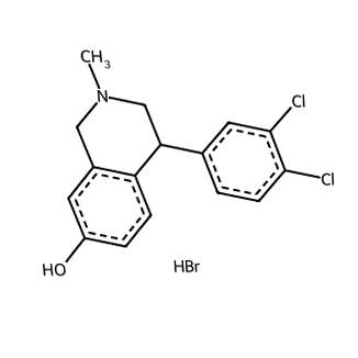 Br.CN1Cc2cc(O)ccc2C(c2ccc(Cl)c(Cl)c2)C1